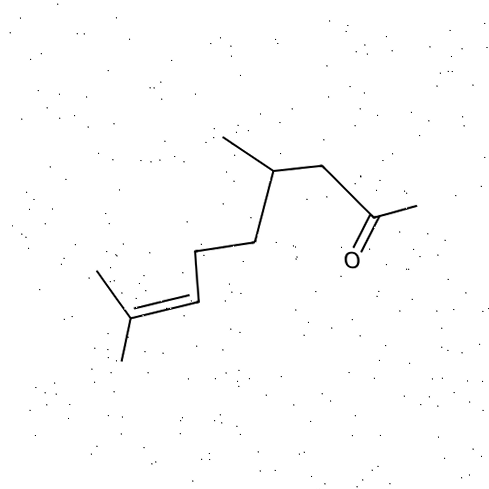 CC(=O)CC(C)CCC=C(C)C